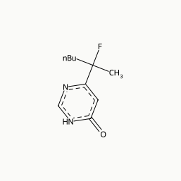 CCCCC(C)(F)c1cc(=O)[nH]cn1